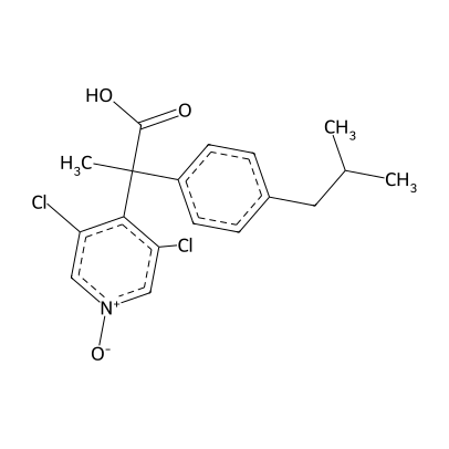 CC(C)Cc1ccc(C(C)(C(=O)O)c2c(Cl)c[n+]([O-])cc2Cl)cc1